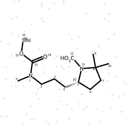 CN(CCC[C@H]1CCC(C)(C)N1C(=O)O)C(=O)OC(C)(C)C